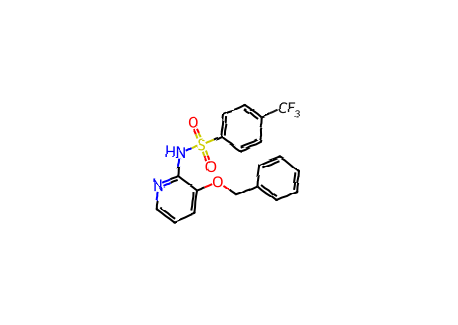 O=S(=O)(Nc1ncccc1OCc1ccccc1)c1ccc(C(F)(F)F)cc1